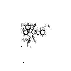 COc1cccc(CN2C(C(=O)OC(C)(C)C)C(c3cccc(Cl)c3F)C(C#N)(c3ccc(Cl)cc3F)C2C)c1